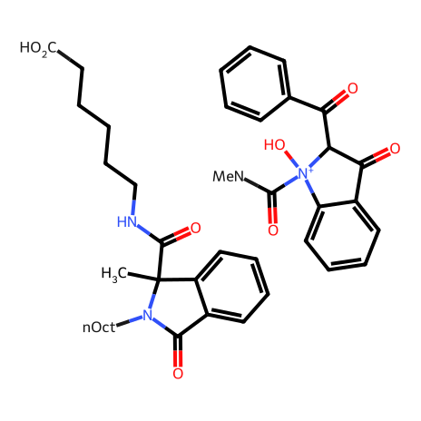 CCCCCCCCN1C(=O)c2ccccc2C1(C)C(=O)NCCCCCC(=O)O.CNC(=O)[N+]1(O)c2ccccc2C(=O)C1C(=O)c1ccccc1